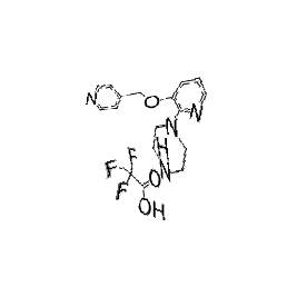 O=C(O)C(F)(F)F.c1cnc(N2CCNCC2)c(OCc2ccncc2)c1